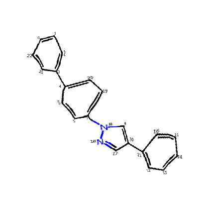 c1ccc(-c2ccc(-n3cc(-c4ccccc4)cn3)cc2)cc1